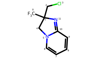 FC(F)(F)C1(CCl)CN2C=CC=CC2=N1